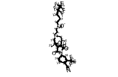 C[C@]12CN(CCC[S+]([O-])CCCC(F)(F)C(F)(F)F)C[C@](C)(O1)C1C(=O)N(c3ccc(C#N)c(C(F)(F)F)c3)C(=O)[C@H]12